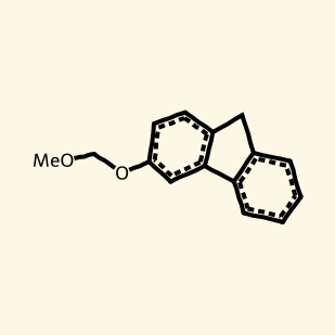 COCOc1ccc2c(c1)-c1ccccc1C2